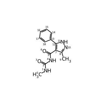 CNC(=O)NC(=O)c1c(C)n[nH]c1-c1ccccc1